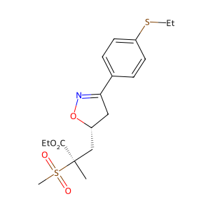 CCOC(=O)[C@@](C)(C[C@H]1CC(c2ccc(SCC)cc2)=NO1)S(C)(=O)=O